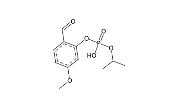 COc1ccc(C=O)c(OP(=O)(O)OC(C)C)c1